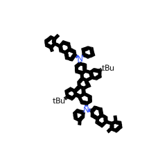 Cc1cccc(N(c2ccc3cc(-c4c(C)cccc4C)ccc3c2)c2ccc3c(c2)c2cc(C(C)(C)C)ccc2c2cc4c5ccc(N(c6ccccc6)c6ccc7cc(-c8c(C)cccc8C)ccc7c6)cc5c5cc(C(C)(C)C)ccc5c4cc32)c1